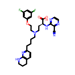 N#Cc1nccnc1N[C@@H](CCN(CCCCc1ccc2c(n1)NCCC2)CCOc1cc(F)cc(F)c1)C(=O)O